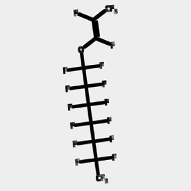 FC(OC(F)(F)C(F)(F)C(F)(F)C(F)(F)C(F)(F)C(F)(F)C(F)(F)F)=C(F)C(F)(F)F